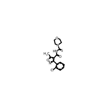 Cc1onc(-c2ccccc2Cl)c1C(=O)NC(=S)N1CCOCC1